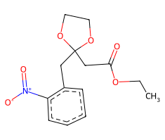 CCOC(=O)CC1(Cc2ccccc2[N+](=O)[O-])OCCO1